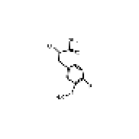 COc1nc(CC(C)C(N)=O)ccc1Br